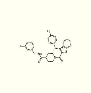 O=C(NCc1cccc(F)c1)C1CCN(C(=O)c2cc3ccccc3n2Cc2ccc(Cl)cc2)CC1